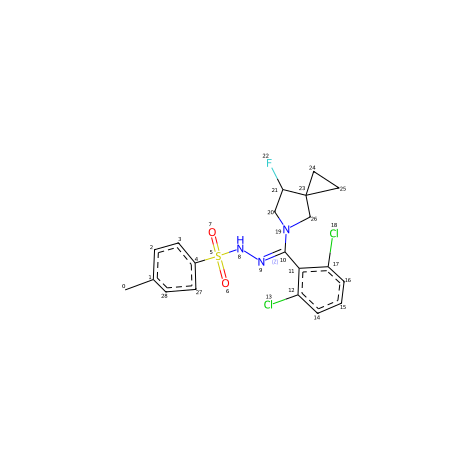 Cc1ccc(S(=O)(=O)N/N=C(/c2c(Cl)cccc2Cl)N2CC(F)C3(CC3)C2)cc1